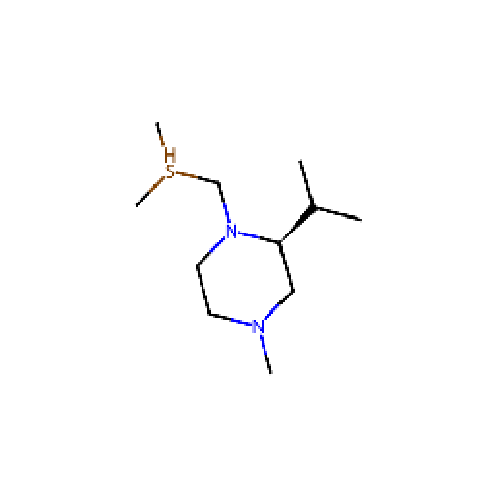 CC(C)[C@H]1CN(C)CCN1C[SH](C)C